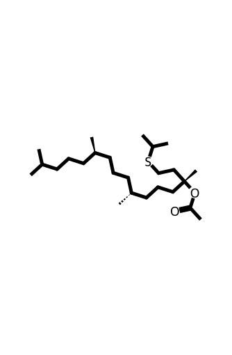 CC(=O)O[C@](C)(CCC[C@H](C)CCC[C@H](C)CCCC(C)C)CCSC(C)C